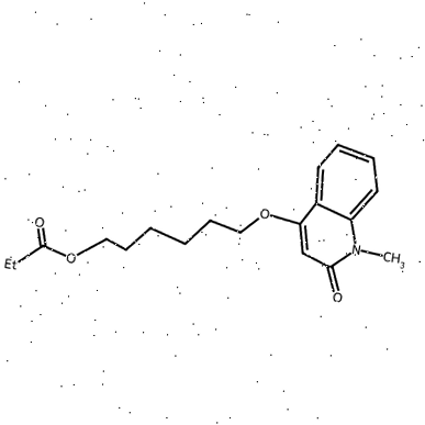 CCC(=O)OCCCCCCOc1cc(=O)n(C)c2ccccc12